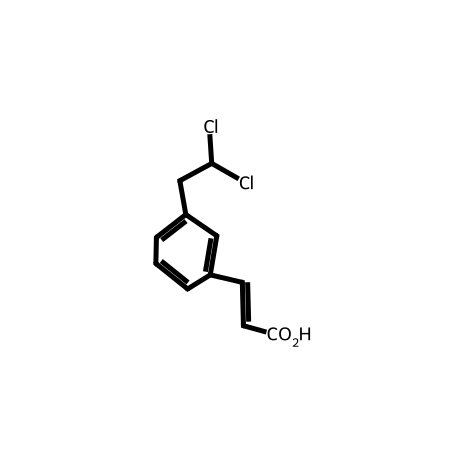 O=C(O)C=Cc1cccc(CC(Cl)Cl)c1